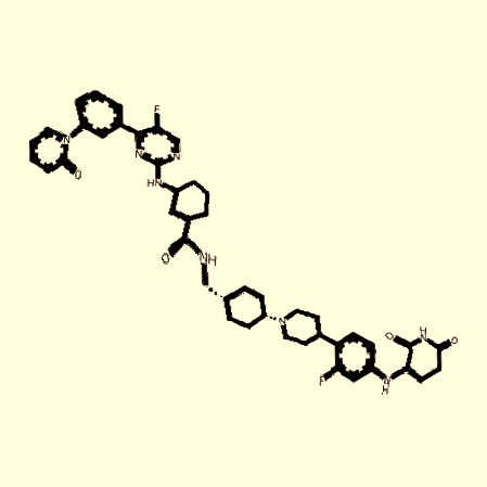 O=C1CCC(Nc2ccc(C3CCN([C@H]4CC[C@@H](CNC(=O)C5CCCC(Nc6ncc(F)c(-c7cccc(-n8ccccc8=O)c7)n6)C5)CC4)CC3)c(F)c2)C(=O)N1